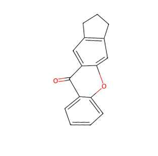 O=c1c2ccccc2oc2cc3c(cc12)CCC3